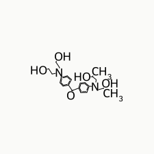 CC(O)CN(CC(C)O)c1ccc(C(=O)c2ccc(N(CCO)CCO)cc2)cc1